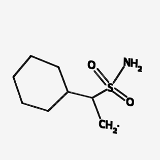 [CH2]C(C1CCCCC1)S(N)(=O)=O